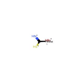 Br.CNC(=N)S